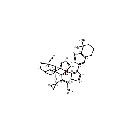 [2H]C1(O)CCCc2cc(-c3cnn4c(N)c(C5CC5)c(C5CC6CC[C@H](C5)N6C(=O)c5nnc[nH]5)nc34)cnc21